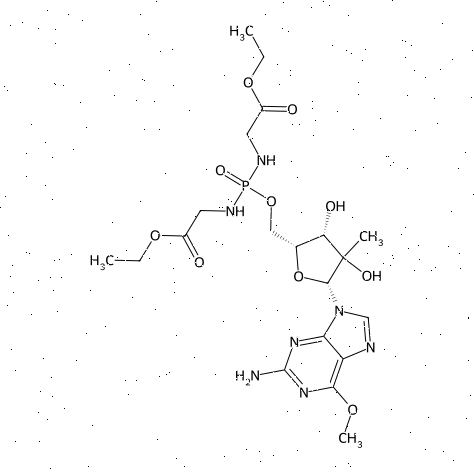 CCOC(=O)CNP(=O)(NCC(=O)OCC)OC[C@H]1O[C@@H](n2cnc3c(OC)nc(N)nc32)C(C)(O)[C@H]1O